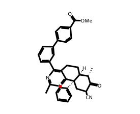 COC(=O)c1ccc(-c2cccc(-c3nc(C)nc4c3CC[C@H]3[C@H](C)C(=O)C(C#N)C[C@@]43c3ccccc3)c2)cc1